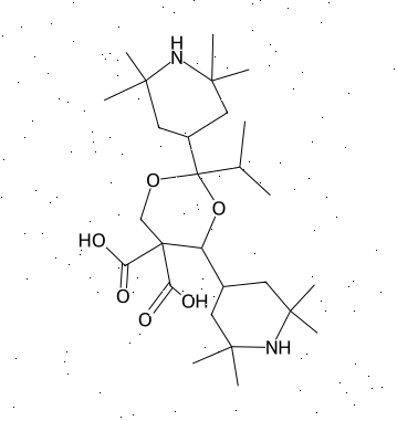 CC(C)C1(C2CC(C)(C)NC(C)(C)C2)OCC(C(=O)O)(C(=O)O)C(C2CC(C)(C)NC(C)(C)C2)O1